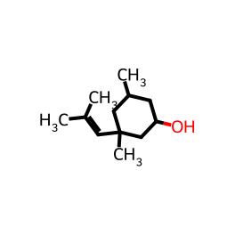 CC(C)=CC1(C)CC(C)CC(O)C1